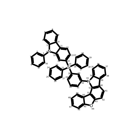 c1ccc(-n2c3ccccc3c3ccc([Si](c4ccccc4)(c4ccccc4)c4cccc(-n5c6ccccc6c6ccc7oc8ccccc8c7c65)c4)cc32)cc1